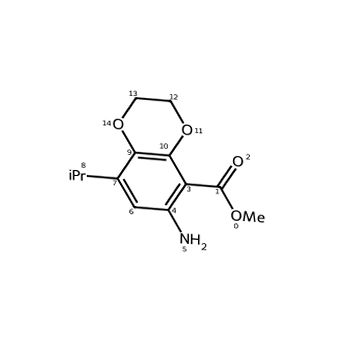 COC(=O)c1c(N)cc(C(C)C)c2c1OCCO2